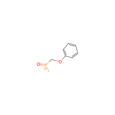 O=[PH2]COc1ccccc1